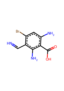 N=Cc1c(Br)cc(N)c(C(=O)O)c1N